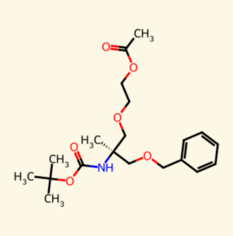 CC(=O)OCCOC[C@@](C)(COCc1ccccc1)NC(=O)OC(C)(C)C